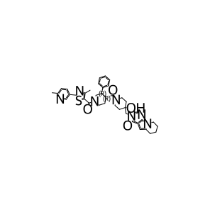 Cc1ccc(-c2nc(C)c(C(=O)N3CC[C@@H](C(=O)N4CCC(O)(Cn5cnc6c(cc7n6CCCC7)c5=O)CC4)[C@H](c4ccccc4)C3)s2)cn1